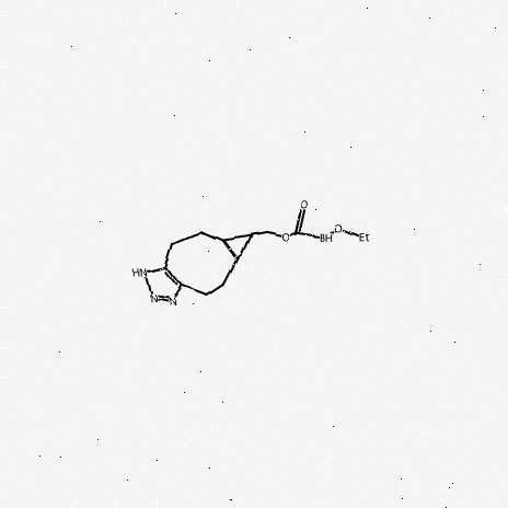 CCOBC(=O)OCC1C2CCc3nn[nH]c3CCC21